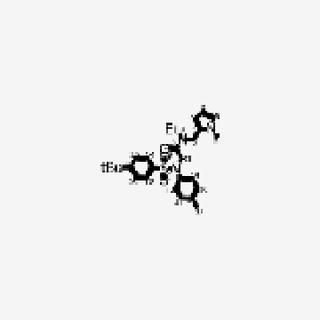 CCN(Cc1cccn1C)C(=O)CN(c1ccc(C)cc1)S(=O)(=O)c1ccc(C(C)(C)C)cc1